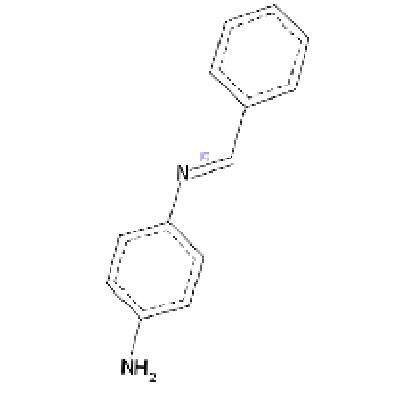 Nc1ccc(/N=C/c2ccccc2)cc1